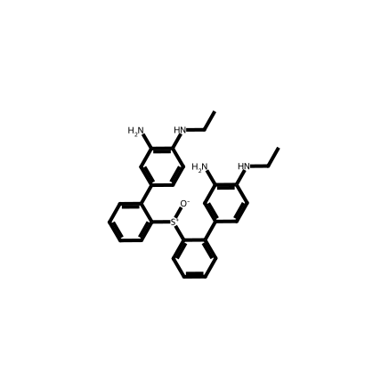 CCNc1ccc(-c2ccccc2[S+]([O-])c2ccccc2-c2ccc(NCC)c(N)c2)cc1N